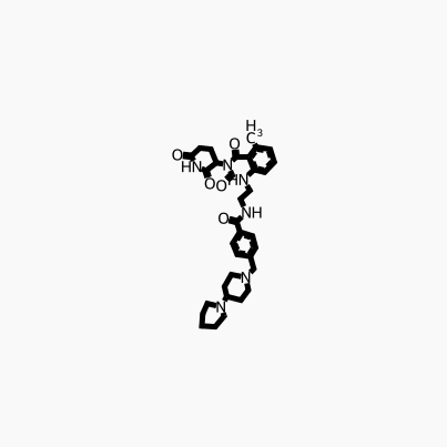 Cc1cccc(NCCNC(=O)c2ccc(CN3CCC(N4CCCCC4)CC3)cc2)c1C(=O)N(C=O)C1CCC(=O)NC1=O